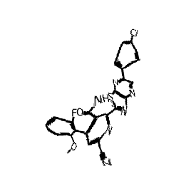 COc1cccc(F)c1-c1cc(C#N)nc(-c2nc3ncc(-c4ccc(Cl)cc4)nc3s2)c1C(N)=O